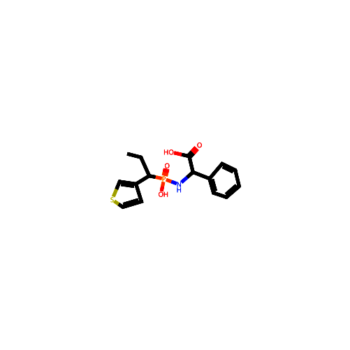 CCC(c1ccsc1)P(=O)(O)NC(C(=O)O)c1ccccc1